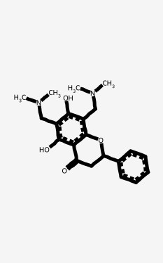 CN(C)Cc1c(O)c(CN(C)C)c2c(c1O)C(=O)CC(c1ccccc1)O2